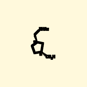 CC(=O)NC[C@H]1CC[C@@H](C(=O)O)C1